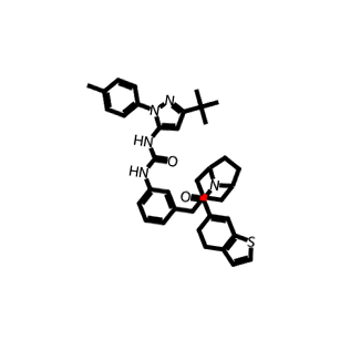 Cc1ccc(-n2nc(C(C)(C)C)cc2NC(=O)Nc2cccc(CC3CC4CCC(C3)N4C(=O)C3=Cc4sccc4CC3)c2)cc1